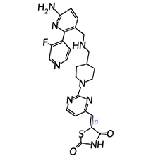 Nc1ccc(CNCC2CCN(c3nccc(/C=C4\SC(=O)NC4=O)n3)CC2)c(-c2ccncc2F)n1